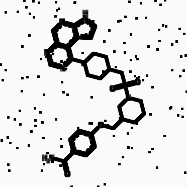 NC(=O)c1ccc(OCC2CCCN(S(=O)(=O)CC3CCC(c4ncnc5cnc6[nH]ccc6c45)CC3)C2)cc1